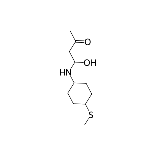 CSC1CCC(NC(O)CC(C)=O)CC1